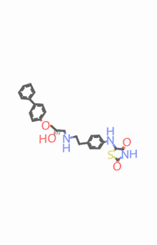 O=C1NC(=O)C(Nc2ccc(CCNC[C@H](O)COc3ccc(-c4ccccc4)cc3)cc2)S1